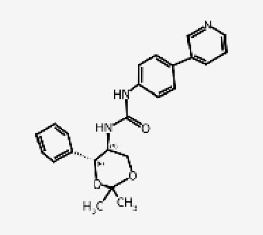 CC1(C)OC[C@H](NC(=O)Nc2ccc(-c3cccnc3)cc2)[C@@H](c2ccccc2)O1